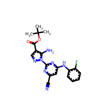 CC(C)(C)OC(=O)c1cnn(-c2nc(C#N)cc(Nc3ccccc3F)n2)c1N